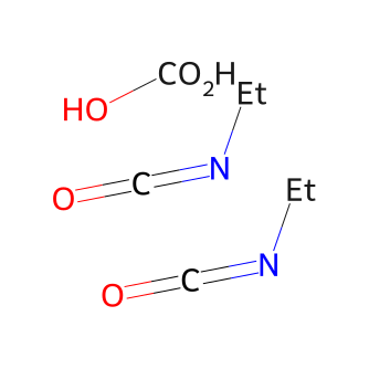 CCN=C=O.CCN=C=O.O=C(O)O